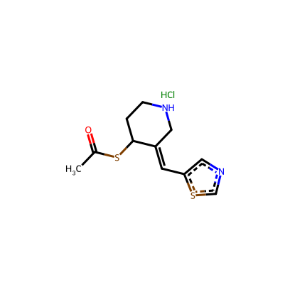 CC(=O)SC1CCNC/C1=C\c1cncs1.Cl